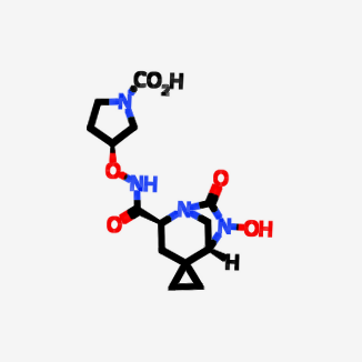 O=C(NO[C@H]1CCN(C(=O)O)C1)[C@@H]1CC2(CC2)[C@@H]2CN1C(=O)N2O